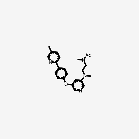 CC(=O)N(C)CCN(C)c1cncc(Oc2ccc(-c3ccc(C)cn3)cc2)c1